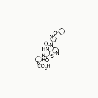 O=C(NC1CCCN(C(=O)O)C1)c1sc2nccc3c2c1NC(=O)N3c1ccc(Oc2ccccc2)nc1